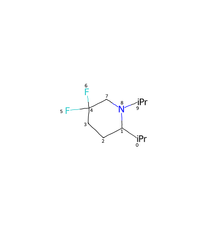 CC(C)C1CCC(F)(F)CN1C(C)C